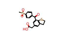 CS(=O)(=O)c1ccc(C(=O)c2cc(CC(=O)O)cc3c2SCC3)cc1